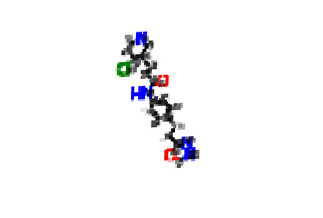 O=C(C=Cc1cnccc1Cl)Nc1ccc(CCc2nnco2)cc1